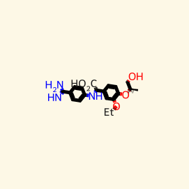 CCOc1cc(C(Nc2ccc(C(=N)N)cc2)C(=O)O)ccc1O[C@H](C)CO